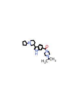 CC(C)N1CCN(C(=O)c2ccc3c(C4CCCN(C5CCCC5)C4)c[nH]c3c2)CC1